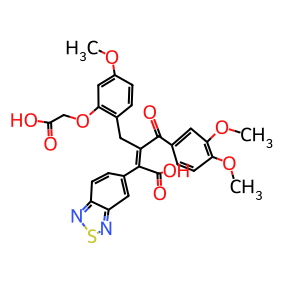 COc1ccc(CC(C(=O)c2ccc(OC)c(OC)c2)=C(C(=O)O)c2ccc3nsnc3c2)c(OCC(=O)O)c1